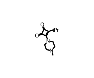 CC(C)c1c(N2CCN(C)CC2)c(=O)c1=O